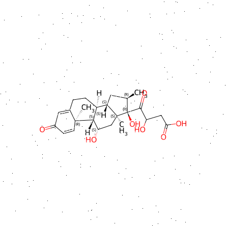 C[C@@H]1C[C@H]2[C@@H]3CCC4=CC(=O)C=C[C@]4(C)[C@H]3[C@@H](O)C[C@]2(C)[C@@]1(O)C(=O)C(O)CC(=O)O